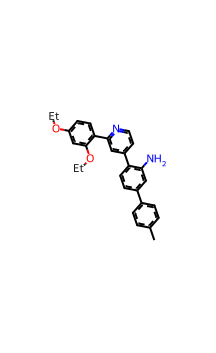 CCOc1ccc(-c2cc(-c3ccc(-c4ccc(C)cc4)cc3N)ccn2)c(OCC)c1